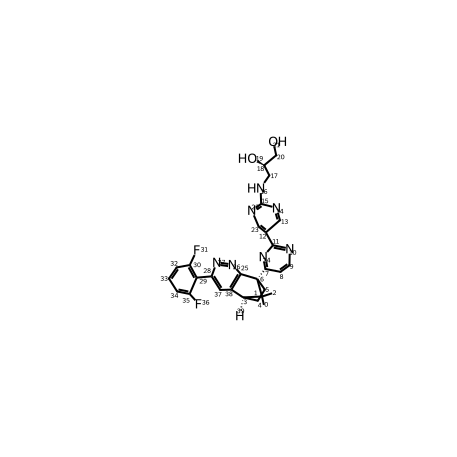 CC1(C)[C@H]2CC[C@]1(c1ccnc(-c3cnc(NC[C@@H](O)CO)nc3)n1)c1nnc(-c3c(F)cccc3F)cc12